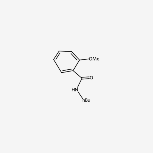 CCCCNC(=O)c1ccccc1OC